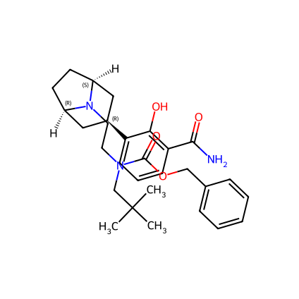 CC(C)(C)CN(CCN1[C@@H]2CC[C@H]1C[C@@H](c1cccc(C(N)=O)c1O)C2)C(=O)OCc1ccccc1